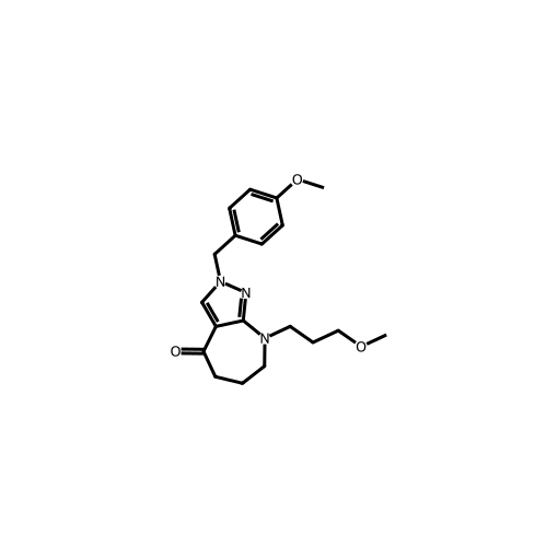 COCCCN1CCCC(=O)c2cn(Cc3ccc(OC)cc3)nc21